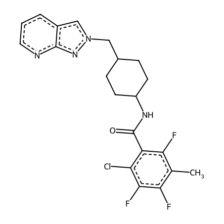 Cc1c(F)c(F)c(Cl)c(C(=O)NC2CCC(Cn3cc4cccnc4n3)CC2)c1F